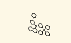 c1ccc(-c2cccc(N(c3cccc4c3-c3ccccc3C4(c3ccccc3)c3ccccc3)c3cccc4ccccc34)c2)cc1